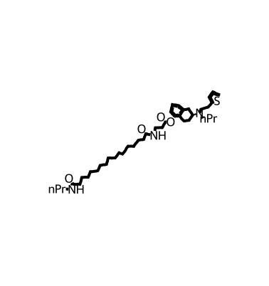 CCCNC(=O)CCCCCCCCCCCCCCCC(=O)NCCC(=O)Oc1cccc2c1CC[C@H](N(CCC)CCc1cccs1)C2